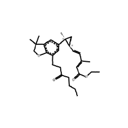 CCCCC(=O)CCc1cc([C@@]2(C)C[C@H]2C=CC(C)=CC(=O)OCC)cc2c1OCC2(C)C